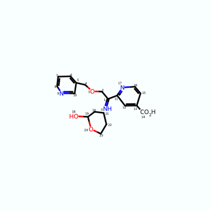 N=C(COCc1cccnc1)c1cc(C(=O)O)ccn1.OC1CCCCO1